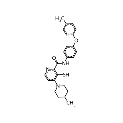 Cc1ccc(Oc2ccc(NC(=O)c3nccc(N4CCC(C)CC4)c3S)cc2)cc1